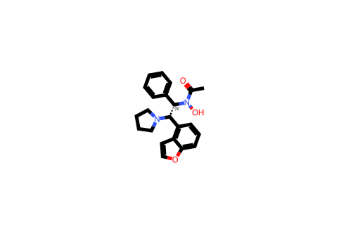 CC(=O)N(O)[C@@H](c1ccccc1)C(c1cccc2occc12)N1CCCC1